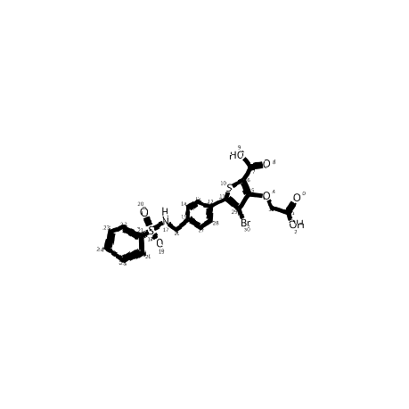 O=C(O)COc1c(C(=O)O)sc(-c2ccc(CNS(=O)(=O)c3ccccc3)cc2)c1Br